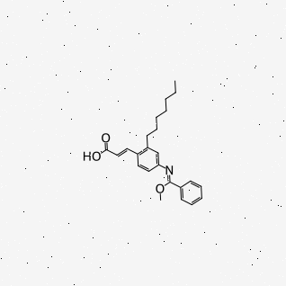 CCCCCCCc1cc(N=C(OC)c2ccccc2)ccc1C=CC(=O)O